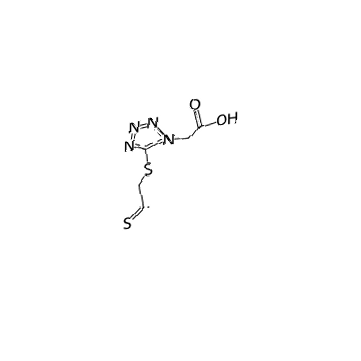 O=C(O)Cn1nnnc1SC[C]=S